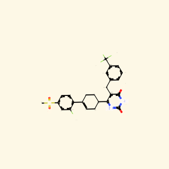 CS(=O)(=O)c1ccc(C2=CCC(c3[nH]c(=O)[nH]c(=O)c3Cc3cccc(C(F)(F)F)c3)CC2)c(F)c1